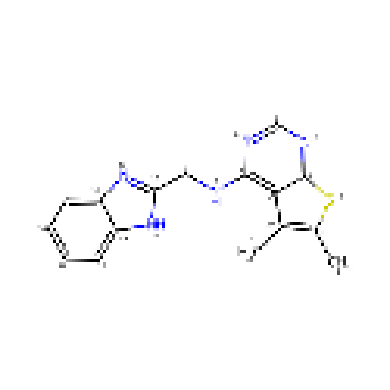 Cc1sc2ncnc(NCc3nc4ccccc4[nH]3)c2c1C